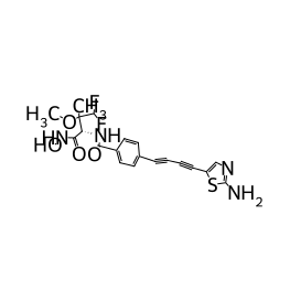 COC(C)(C(F)F)[C@H](NC(=O)c1ccc(C#CC#Cc2cnc(N)s2)cc1)C(=O)NO